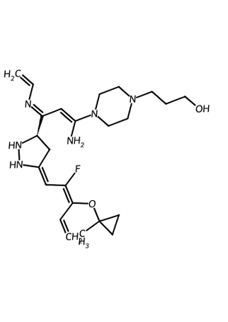 C=C/N=C(\C=C(/N)N1CCN(CCCO)CC1)[C@H]1C/C(=C\C(F)=C(/C=C)OC2(C)CC2)NN1